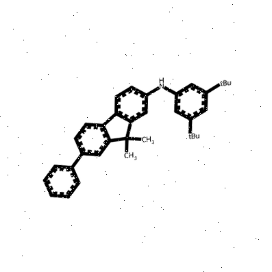 CC(C)(C)c1cc(Nc2ccc3c(c2)C(C)(C)c2cc(-c4ccccc4)ccc2-3)cc(C(C)(C)C)c1